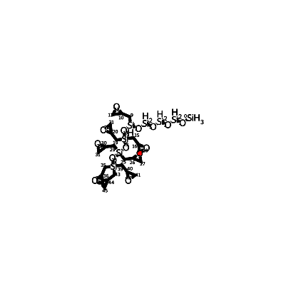 [SiH3]O[SiH2]O[SiH2]O[SiH2]O[SiH](CC1CO1)O[Si](CC1CO1)(CC1CO1)O[Si](CC1CO1)(CC1CO1)O[Si](CC1CO1)(CC1CO1)CC1CO1